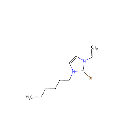 C=CN1C=CN(CCCCCC)C1Br